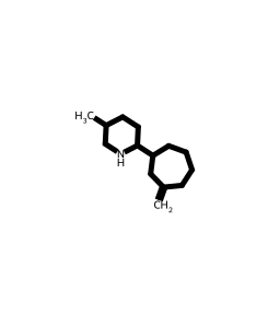 C=C1CCCCC(C2CCC(C)CN2)C1